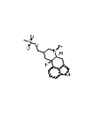 CCN1CC(COS(C)(=O)=O)C[C@H]2c3cccc4[nH]cc(c34)C[C@@H]21